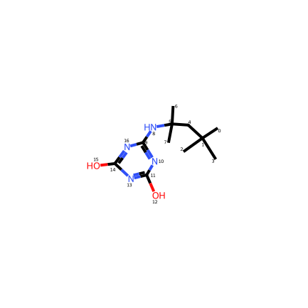 CC(C)(C)CC(C)(C)Nc1nc(O)nc(O)n1